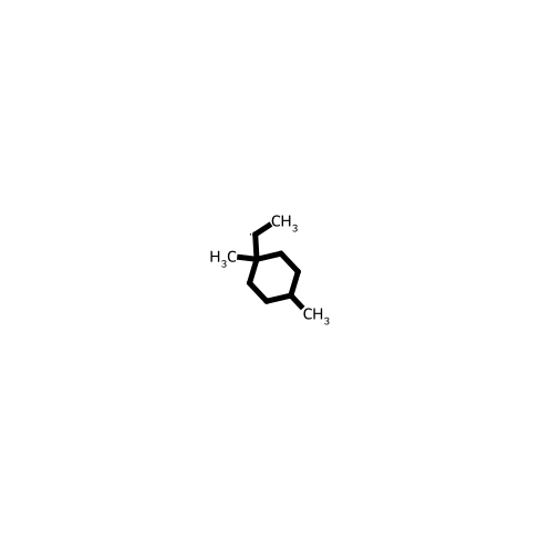 C[CH]C1(C)CCC(C)CC1